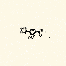 COc1cc(-c2nnn[nH]2)ccc1C(N)=O